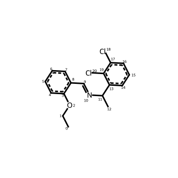 CCOc1ccccc1C=NC(C)c1cccc(Cl)c1Cl